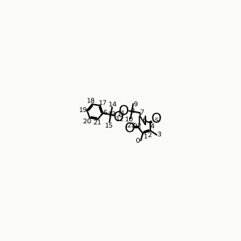 CC1=C(C)C(=O)N(CC(C)(C)OOC(C)(C)c2ccccc2)C1=O